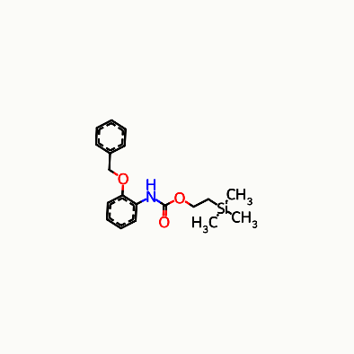 C[Si](C)(C)CCOC(=O)Nc1ccccc1OCc1ccccc1